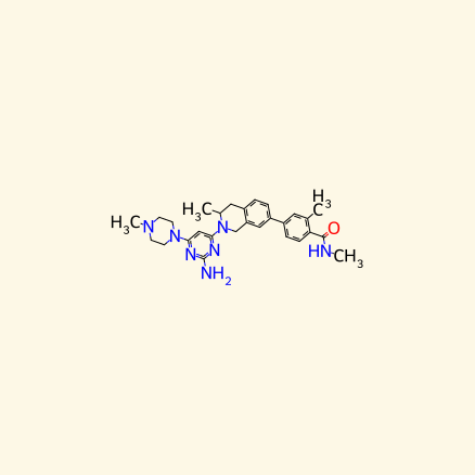 CNC(=O)c1ccc(-c2ccc3c(c2)CN(c2cc(N4CCN(C)CC4)nc(N)n2)C(C)C3)cc1C